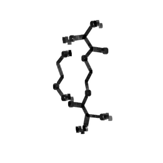 C=C(C)C(=O)OCCOC(=O)C(=C)C.COCCO